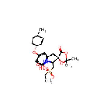 CCS(=O)(=O)CC(NC(=O)O)[C@@]1(Cc2cc(O[C@H]3CC[C@H](C)CC3)ccn2)OC(C)(C)OC1=O